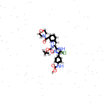 COC(=O)Nc1ccc(-c2nc([C@H](Cc3cccc(C(=O)N4CCOCC4)c3)NC(=O)OC(C)(C)C)[nH]c2Cl)cc1